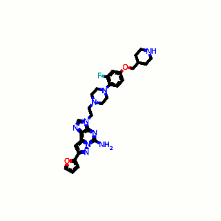 Nc1nc2c(ncn2CCN2CCN(c3ccc(OCC4CCNCC4)cc3F)CC2)c2cc(-c3ccco3)nn12